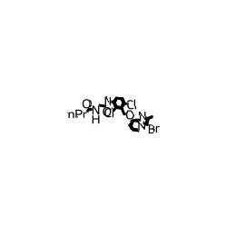 CCCC(=O)NCC(=O)N(C)c1ccc(Cl)c(COc2cccn3c(Br)c(C)nc23)c1Cl